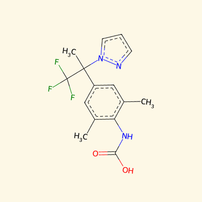 Cc1cc(C(C)(n2cccn2)C(F)(F)F)cc(C)c1NC(=O)O